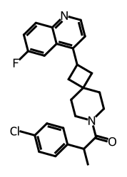 CC(C(=O)N1CCC2(CC1)CC(c1ccnc3ccc(F)cc13)C2)c1ccc(Cl)cc1